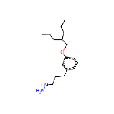 CCCC(CCC)COc1cccc(CCCNN)c1